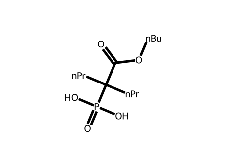 CCCCOC(=O)C(CCC)(CCC)P(=O)(O)O